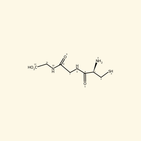 N[C@@H](CS)C(=O)NCC(=O)NCC(=O)O